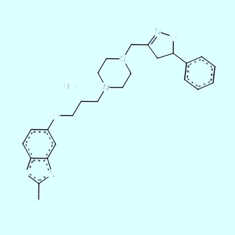 Cc1nc2cc(OC[C@H](O)CN3CCN(CC4=NOC(c5ccccc5)C4)[C@@H](C)C3)ccc2s1